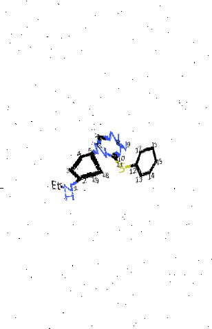 CCNc1ccc(-n2cnnc2SC2CCCCC2)cc1